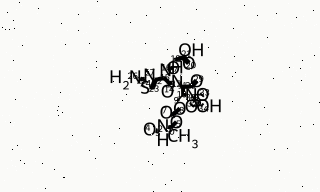 CC(NC=O)OC(=O)OC[C@H]1[C@@H](NC(=O)/C(=N\OCC(=O)O)c2csc(N)n2)C(=O)N1S(=O)(=O)O